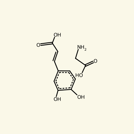 NCC(=O)O.O=C(O)/C=C/c1ccc(O)c(O)c1